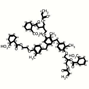 C=CC(=O)OCC(COc1cc(Cc2ccc(OCCOC(=O)C3CC=CCC3C(=O)O)c(C)c2)cc(Cc2ccc(OCC(COC(=O)C=C)OC(=O)C3CC=CCC3C(=O)O)c(C)c2)c1C)CC(=O)C1CC=CCC1C(=O)O